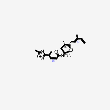 C=C/C(C)=C/C[C@@H]1O[C@H](C)[C@H](NC(=O)/C=C\C(C)c2noc(C)n2)C[C@@H]1C